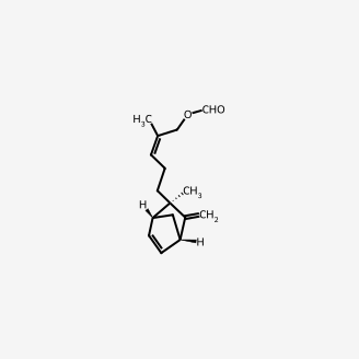 C=C1[C@@H]2C=C[C@@H](C2)[C@@]1(C)CC/C=C(/C)COC=O